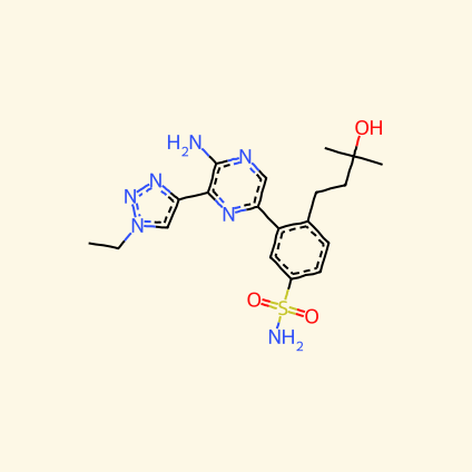 CCn1cc(-c2nc(-c3cc(S(N)(=O)=O)ccc3CCC(C)(C)O)cnc2N)nn1